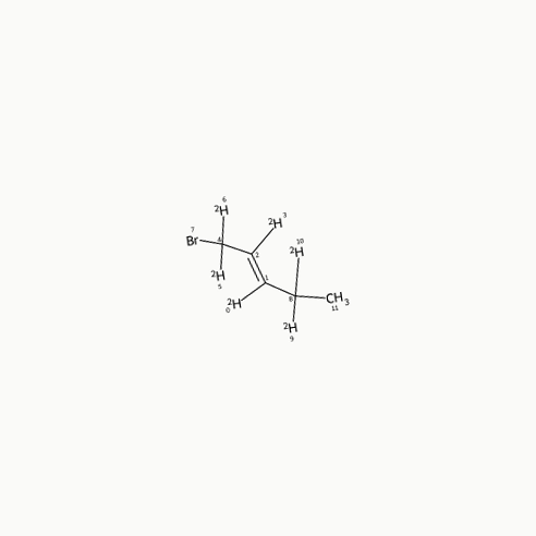 [2H]/C(=C(/[2H])C([2H])([2H])Br)C([2H])([2H])C